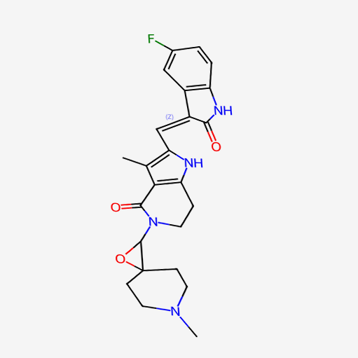 Cc1c(/C=C2\C(=O)Nc3ccc(F)cc32)[nH]c2c1C(=O)N(C1OC13CCN(C)CC3)CC2